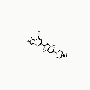 Cn1cc2cc(-c3cc4sc(C5CCNCC5)cc4s3)cc(F)c2n1